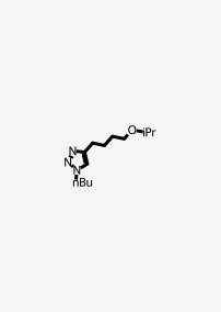 CCCCn1cc(CCCCOC(C)C)nn1